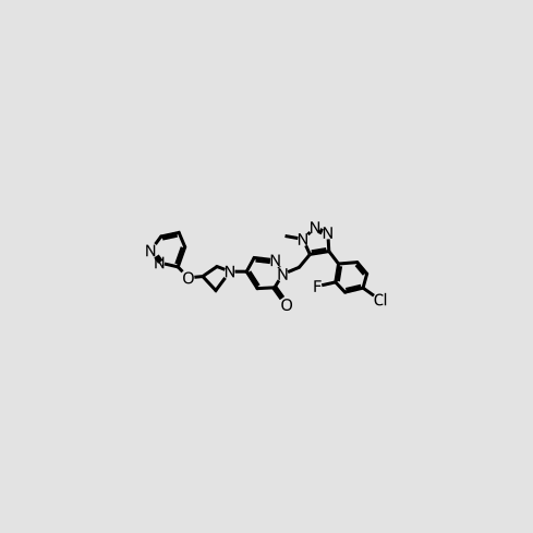 Cn1nnc(-c2ccc(Cl)cc2F)c1Cn1ncc(N2CC(Oc3cccnn3)C2)cc1=O